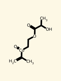 C=[C](C)[Co](=[O])[CH2]COC(=O)C(C)O